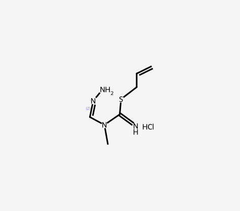 C=CCSC(=N)N(C)/C=N\N.Cl